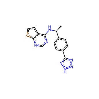 C[C@H](Nc1ncnc2sccc12)c1ccc(-c2nn[nH]n2)cc1